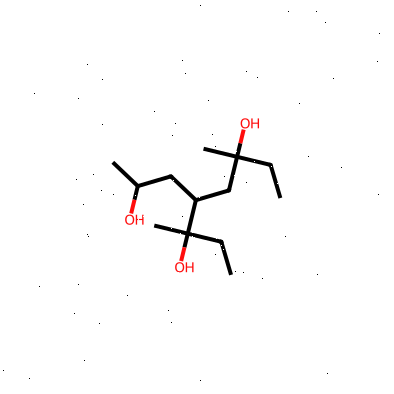 CCC(C)(O)CC(CC(C)O)C(C)(O)CC